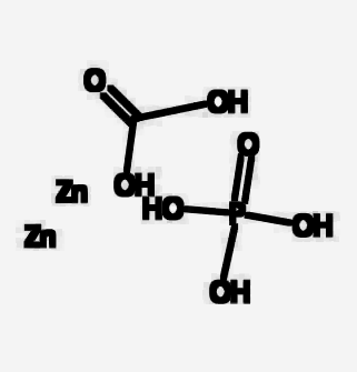 O=C(O)O.O=P(O)(O)O.[Zn].[Zn]